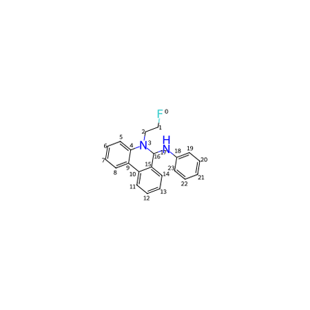 FCCN1c2ccccc2-c2ccccc2C1Nc1ccccc1